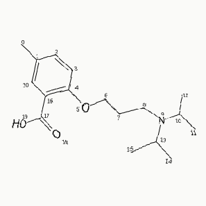 Cc1ccc(OCCCN(C(C)C)C(C)C)c(C(=O)O)c1